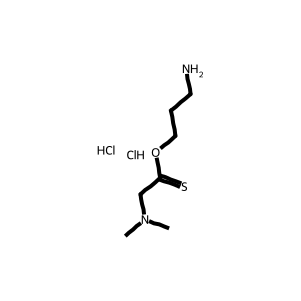 CN(C)CC(=S)OCCCN.Cl.Cl